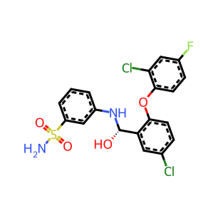 NS(=O)(=O)c1cccc(N[C@@H](O)c2cc(Cl)ccc2Oc2ccc(F)cc2Cl)c1